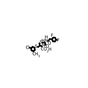 Cc1cc(Cl)cc(SCC2=C(C(=O)O)N3C(=O)C(NC(=O)Cc4ccc(F)cc4F)[C@@H]3SC2)c1